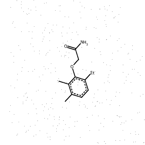 CCc1ccc(C)c(C)c1OCC(N)=O